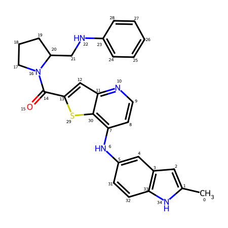 Cc1cc2cc(Nc3ccnc4cc(C(=O)N5CCCC5CNc5ccccc5)sc34)ccc2[nH]1